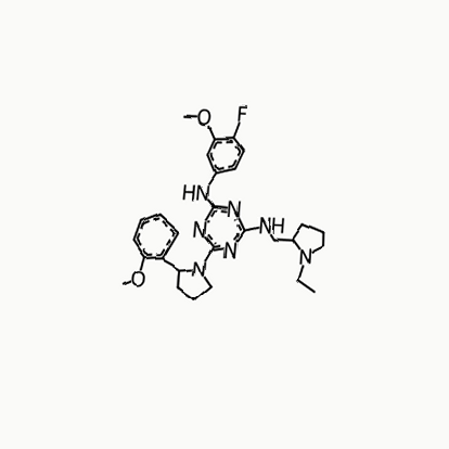 CCN1CCCC1CNc1nc(Nc2ccc(F)c(OC)c2)nc(N2CCCC2c2ccccc2OC)n1